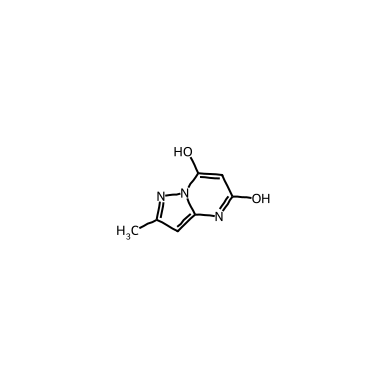 Cc1cc2nc(O)cc(O)n2n1